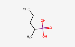 CC(CCC=O)P(=O)(O)O